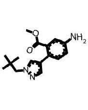 COC(=O)c1cc(N)ccc1-c1cnn(CC(C)(C)C)c1